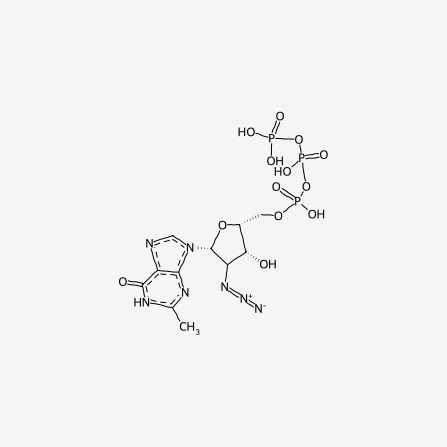 Cc1nc2c(ncn2[C@@H]2O[C@H](COP(=O)(O)OP(=O)(O)OP(=O)(O)O)[C@H](O)C2N=[N+]=[N-])c(=O)[nH]1